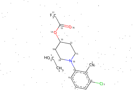 CC(=O)O.N#Cc1c(Cl)cccc1N1CCC(OC(=O)C(F)(F)F)CC1